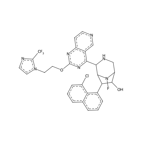 OC1C(c2cccc3cccc(Cl)c23)C2C(c3nc(OCCn4ccnc4C(F)(F)F)nc4ccncc34)NCC1N2F